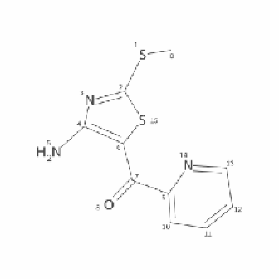 CSc1nc(N)c(C(=O)c2ccccn2)s1